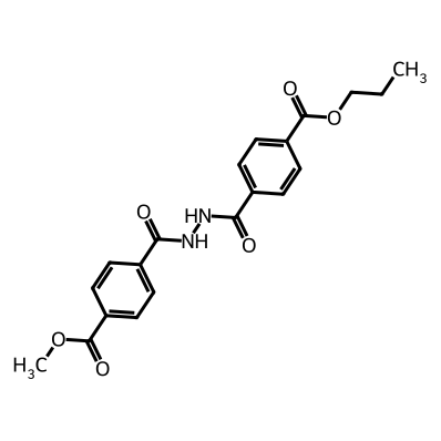 CCCOC(=O)c1ccc(C(=O)NNC(=O)c2ccc(C(=O)OC)cc2)cc1